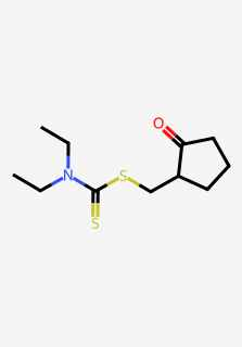 CCN(CC)C(=S)SCC1CCCC1=O